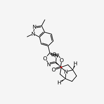 Cc1nn(C)c2cc(-c3nc([C@@H]4C[C@H]5CC[C@@H](C4)N5C(=O)OC(C)(C)C)no3)ccc12